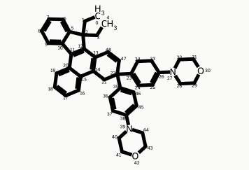 CCC1(CC)c2ccccc2-c2c1c1c(c3ccccc23)CC(C2=CC=C(N3CCOCC3)CC2)(c2ccc(N3CCOCC3)cc2)C=C1